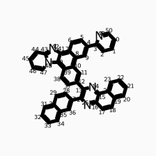 c1ccc(-c2ccc3c(c2)c2cc(-c4nc5c(ccc6ccccc65)nc4-c4ccc5ccccc5c4)ccc2c2c3nc3ccccn32)nc1